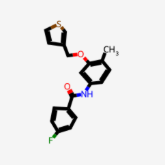 Cc1ccc(NC(=O)c2ccc(F)cc2)cc1OCc1ccsc1